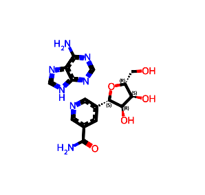 NC(=O)c1cncc([C@@H]2O[C@H](CO)[C@@H](O)[C@H]2O)c1.Nc1ncnc2[nH]cnc12